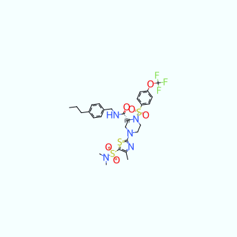 CCCc1ccc(CNC(=O)[C@H]2CN(c3nc(C)c(S(=O)(=O)N(C)C)s3)CCN2S(=O)(=O)c2ccc(OC(F)(F)F)cc2)cc1